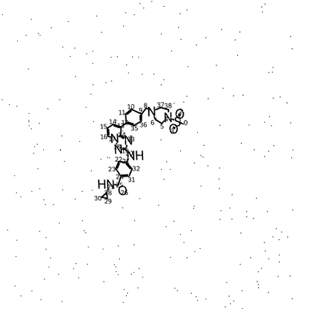 CS(=O)(=O)N1CCN(Cc2ccc(-c3cccn4nc(Nc5ccc(C(=O)NC6CC6)cc5)nc34)cc2)CC1